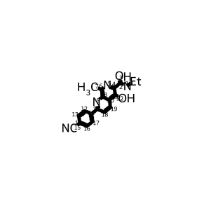 CCNC(=O)c1nc(C)c2nc(-c3ccc(C#N)cc3)ccc2c1O